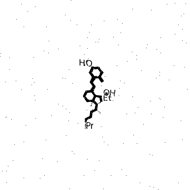 C=C1CC[C@H](O)C/C1=C/C=C1CCC[C@@]2(C)C1CC[C@@H]2[C@H](C)CCCC(C)C.CCO